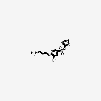 NCCCNc1ncc(S(=O)(=O)Nc2ncns2)cc1Br